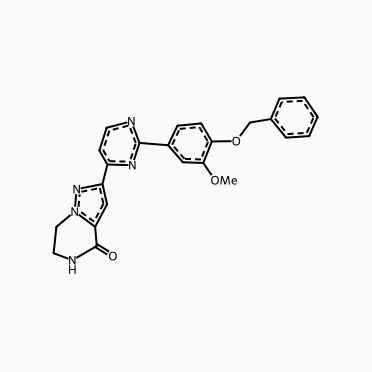 COc1cc(-c2nccc(-c3cc4n(n3)CCNC4=O)n2)ccc1OCc1ccccc1